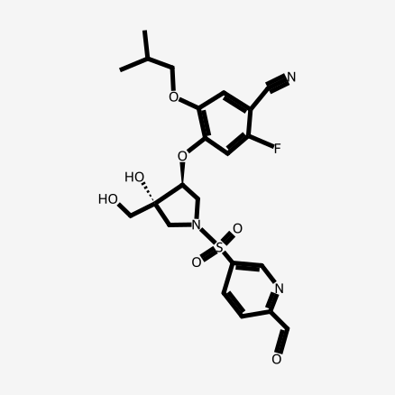 CC(C)COc1cc(C#N)c(F)cc1O[C@H]1CN(S(=O)(=O)c2ccc(C=O)nc2)C[C@@]1(O)CO